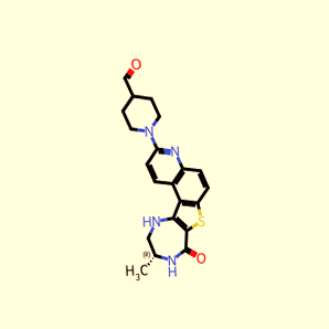 C[C@@H]1CNc2c(sc3ccc4nc(N5CCC(C=O)CC5)ccc4c23)C(=O)N1